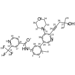 Cc1ccc(NC(=O)c2ccnc(C(F)(F)F)c2)cc1-c1cnc(C#CCC(C)(C)O)c(N2CCOCC2)c1